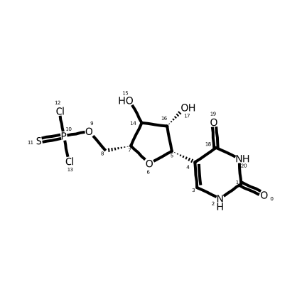 O=c1[nH]cc([C@@H]2O[C@H](COP(=S)(Cl)Cl)C(O)[C@@H]2O)c(=O)[nH]1